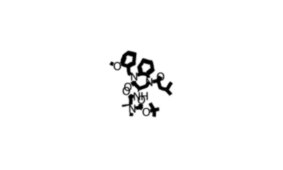 COc1ccccc1CN1C(=O)[C@@H](NC(=O)[C@H](C)N(C)C(=O)OC(C)(C)C)CN(C(=O)CC(C)C)c2ccccc21